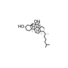 CCC1(O)C=C2C[C@@H](O)CC[C@]2(C)[C@H]2CC[C@]3(C)[C@@H]([C@H](C)CCCC(C)C)CC[C@H]3[C@@H]21